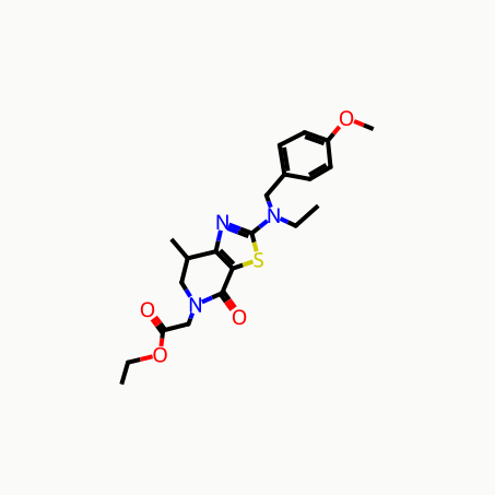 CCOC(=O)CN1CC(C)c2nc(N(CC)Cc3ccc(OC)cc3)sc2C1=O